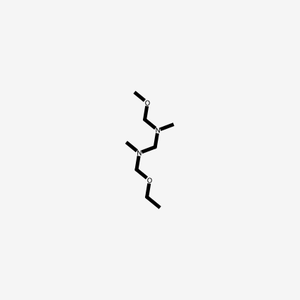 CCOCN(C)CN(C)COC